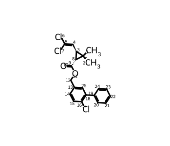 CC1(C)[C@H](C=C(Cl)Cl)[C@H]1C(=O)OCc1ccc(Cl)c(-c2ccccc2)c1